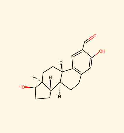 C[C@]12CC[C@@H]3c4cc(C=O)c(O)cc4CC[C@H]3[C@@H]1CC[C@H]2O